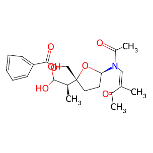 CC(=O)/C(C)=C\N(C(C)=O)[C@H]1CC[C@](COC(=O)c2ccccc2)([C@@H](C)C(O)O)O1